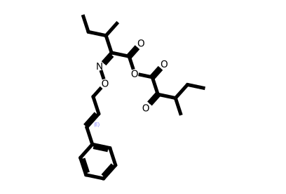 CCC(C)C(=O)C(=O)OC(=O)C(=NOC/C=C/c1ccccc1)C(C)CC